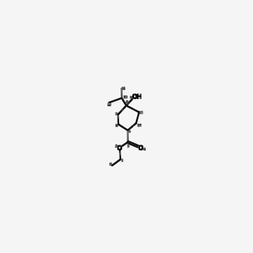 CCOC(=O)C1CCC(O)(C(C)C)CC1